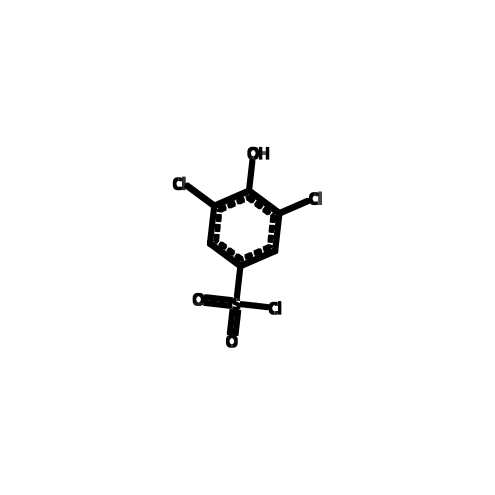 O=S(=O)(Cl)c1cc(Cl)c(O)c(Cl)c1